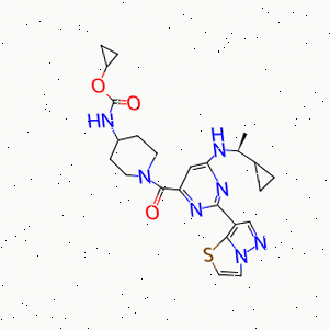 C[C@H](Nc1cc(C(=O)N2CCC(NC(=O)OC3CC3)CC2)nc(-c2cnn3ccsc23)n1)C1CC1